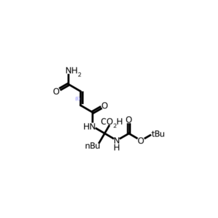 CCCCC(NC(=O)/C=C/C(N)=O)(NC(=O)OC(C)(C)C)C(=O)O